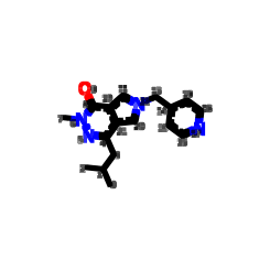 CC(C)Cc1nn(C)c(=O)c2cn(Cc3ccncc3)cc12